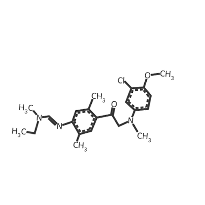 CCN(C)C=Nc1cc(C)c(C(=O)CN(C)c2ccc(OC)c(Cl)c2)cc1C